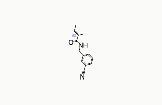 C/C=C(\C)C(=O)NCc1cccc(C#N)c1